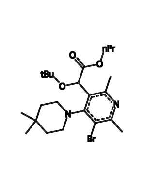 CCCOC(=O)C(OC(C)(C)C)c1c(C)nc(C)c(Br)c1N1CCC(C)(C)CC1